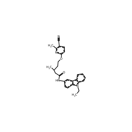 CCn1c2ccccc2c2cc(NC(=O)CC(C)CCOc3ccc(C#N)c(C)n3)ccc21